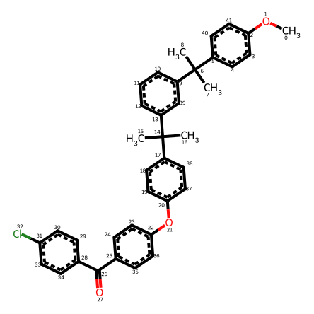 COc1ccc(C(C)(C)c2cccc(C(C)(C)c3ccc(Oc4ccc(C(=O)c5ccc(Cl)cc5)cc4)cc3)c2)cc1